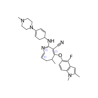 Cc1cc2c(F)c(O/C3=C(C#N)/C(NC4C=CC(N5CCN(C)CC5)=CC4)=N\C=C\CC3C)ccc2n1C